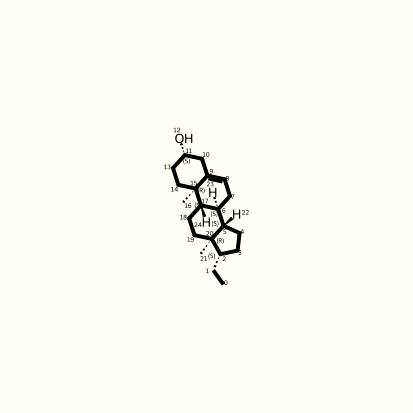 CC[C@H]1CC[C@H]2[C@@H]3CC=C4C[C@@H](O)CC[C@]4(C)[C@H]3CC[C@]12C